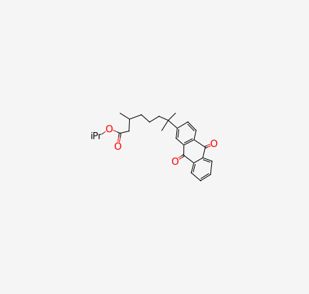 CC(CCCC(C)(C)c1ccc2c(c1)C(=O)c1ccccc1C2=O)CC(=O)OC(C)C